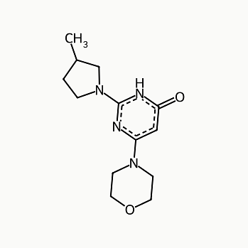 CC1CCN(c2nc(N3CCOCC3)cc(=O)[nH]2)C1